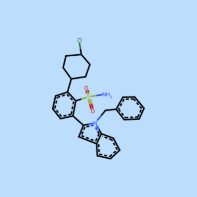 NS(=O)(=O)c1c(-c2cc3ccccc3n2Cc2ccccc2)cccc1C1CCC(Cl)CC1